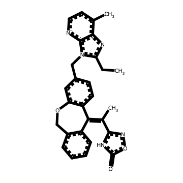 CCc1nc2c(C)ccnc2n1Cc1ccc2c(c1)OCc1ccccc1/C2=C(/C)c1noc(=O)[nH]1